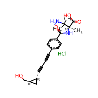 CC(C)(N)[C@](C)(NC(=O)c1ccc(C#CC#C[C@@H]2C[C@H]2CO)cc1)C(=O)O.Cl